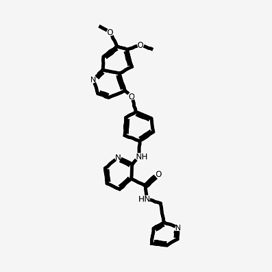 COc1cc2nccc(Oc3ccc(Nc4ncccc4C(=O)NCc4ccccn4)cc3)c2cc1OC